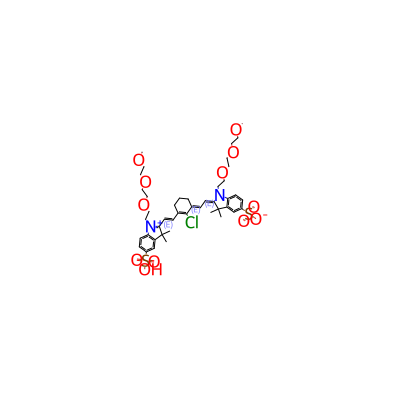 COCCOCCOCCN1/C(=C/C=C2\CCCC(/C=C/C3=[N+](CCOCCOCCOC)c4ccc(S(=O)(=O)O)cc4C3(C)C)=C2Cl)C(C)(C)c2cc(S(=O)(=O)[O-])ccc21